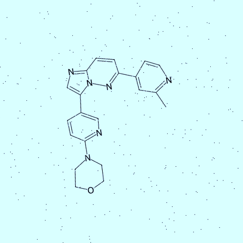 Cc1cc(-c2ccc3ncc(-c4ccc(N5CCOCC5)nc4)n3n2)ccn1